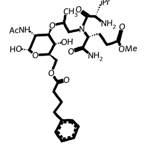 COC(=O)CC[C@H](C(N)=O)N(CC(C)O[C@H]1[C@H](O)[C@@H](COC(=O)CCCc2ccccc2)O[C@H](O)[C@@H]1NC(C)=O)C(=O)[C@@H](N)C(C)C